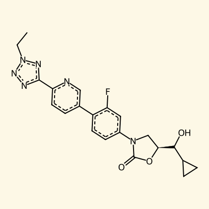 CCn1nnc(-c2ccc(-c3ccc(N4C[C@@H](C(O)C5CC5)OC4=O)cc3F)cn2)n1